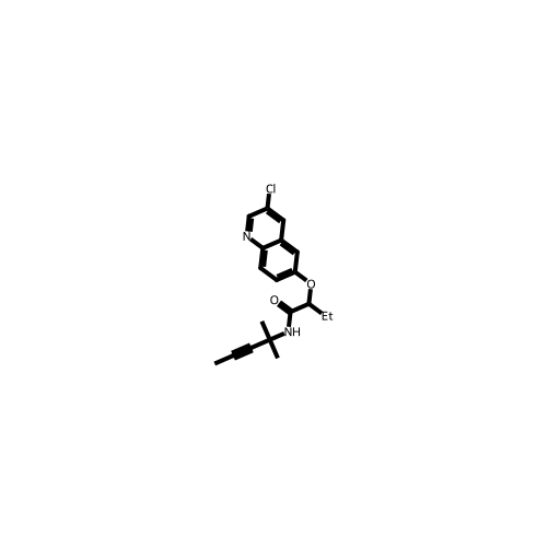 CC#CC(C)(C)NC(=O)C(CC)Oc1ccc2ncc(Cl)cc2c1